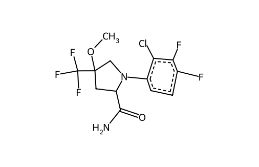 COC1(C(F)(F)F)CC(C(N)=O)N(c2ccc(F)c(F)c2Cl)C1